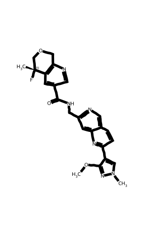 COc1nn(C)cc1-c1ccc2cnc(CNC(=O)c3cnc4c(c3)[C@](C)(F)COC4)cc2n1